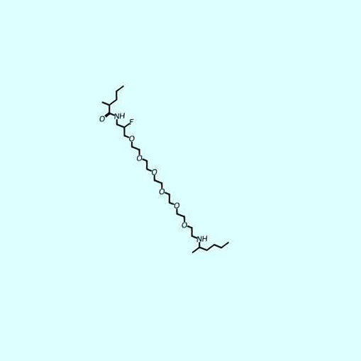 CCCCC(C)NCCOCCOCCOCCOCCOCCOCC(F)CNC(=O)C(C)CCC